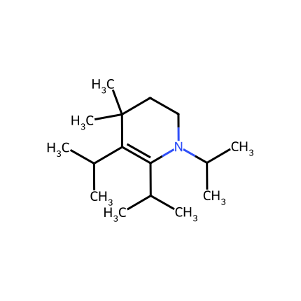 CC(C)C1=C(C(C)C)C(C)(C)CCN1C(C)C